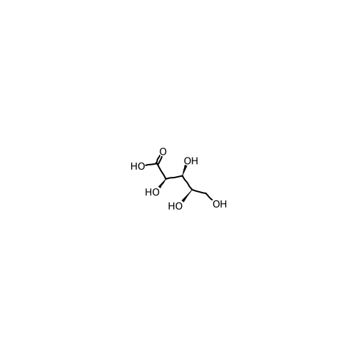 O=C(O)[C@H](O)[C@@H](O)[C@H](O)CO